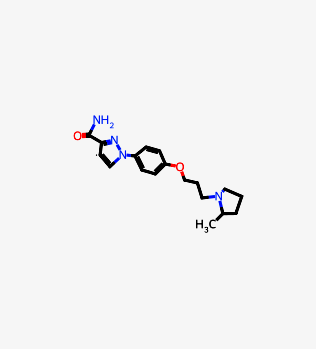 CC1CCCN1CCCOc1ccc(-n2c[c]c(C(N)=O)n2)cc1